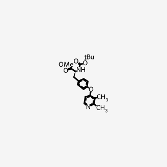 COC(=O)[C@H](Cc1ccc(Oc2ccnc(C)c2C)cc1)NC(=O)OC(C)(C)C